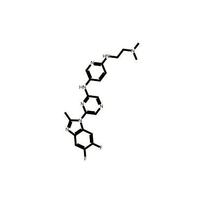 Cc1nc2cc(F)c(F)cc2n1-c1cncc(Nc2ccc(NCCN(C)C)nc2)n1